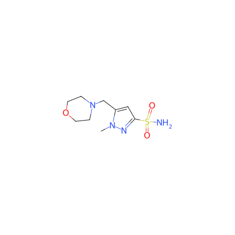 Cn1nc(S(N)(=O)=O)cc1CN1CCOCC1